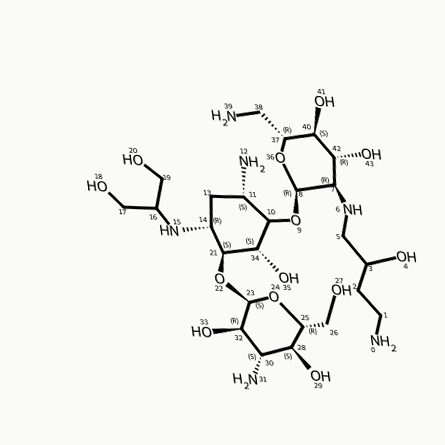 NCCC(O)CN[C@H]1[C@@H](OC2[C@@H](N)C[C@@H](NC(CO)CO)[C@H](O[C@H]3O[C@H](CO)[C@@H](O)[C@H](N)[C@H]3O)[C@H]2O)O[C@H](CN)[C@@H](O)[C@@H]1O